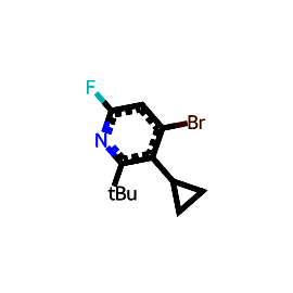 CC(C)(C)c1nc(F)cc(Br)c1C1CC1